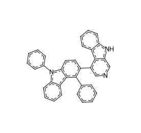 c1ccc(-c2c(-c3cncc4[nH]c5ccccc5c34)ccc3c2c2ccccc2n3-c2ccccc2)cc1